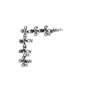 N#[C][Mn](=[O])(=[O])[O-].N#[C][Mn](=[O])(=[O])[O-].N#[C][Mn](=[O])(=[O])[O-].N#[C][Mn](=[O])(=[O])[OH].N#[C][Mn](=[O])(=[O])[OH].N#[C][Mn](=[O])(=[O])[OH].[K+].[Mn+2]